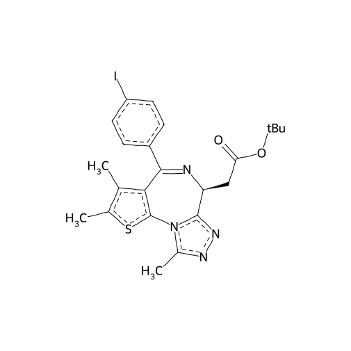 Cc1sc2c(c1C)C(c1ccc(I)cc1)=N[C@@H](CC(=O)OC(C)(C)C)c1nnc(C)n1-2